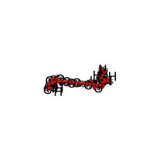 C[C@@H](NC(=O)c1cccc(NC2(c3nnc(-c4ccncc4)[nH]3)CCN(C)CC2)c1)c1cccc(OCCCCCCOCCOCCOCCCC(=O)Nc2cccc3c2CN(C2CCC(=O)NC2=O)C3=O)c1